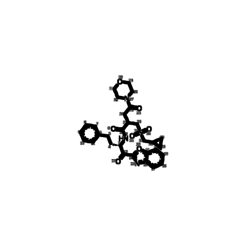 O=C(N[C@@H](CCc1ccccc1)C(=O)c1nc2ccccc2o1)C(CC(=O)N1CCOCC1)CS(=O)(=O)CC1CC1